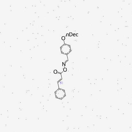 CCCCCCCCCCOc1ccc(C=NOC(=O)/C=C/c2ccccc2)cc1